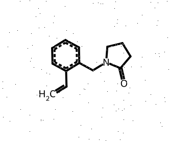 C=Cc1ccccc1CN1CCCC1=O